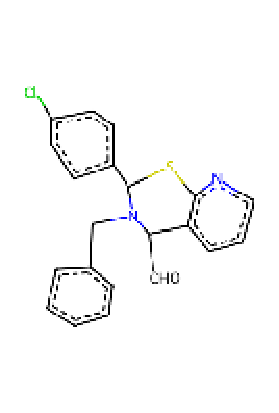 O=CC1c2cccnc2SC(c2ccc(Cl)cc2)N1Cc1ccccc1